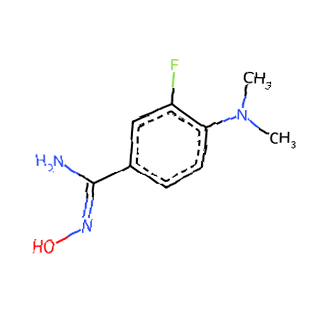 CN(C)c1ccc(/C(N)=N/O)cc1F